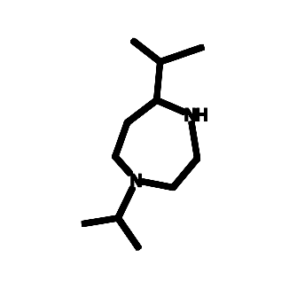 CC(C)C1CCN(C(C)C)CCN1